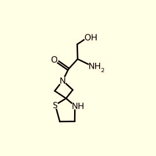 NC(CO)C(=O)N1CC2(C1)NCCS2